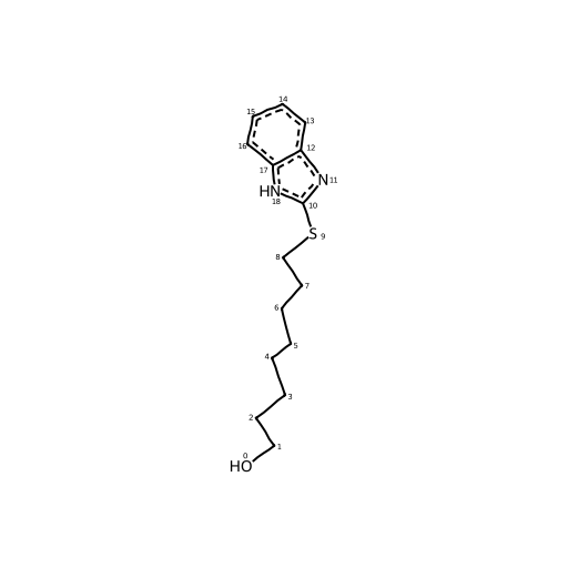 OCCCCCCCCSc1nc2ccccc2[nH]1